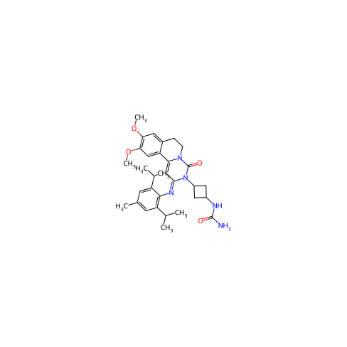 COc1cc2c(cc1OC)-c1c/c(=N\c3c(C(C)C)cc(C)cc3C(C)C)n(C3CC(NC(N)=O)C3)c(=O)n1CC2